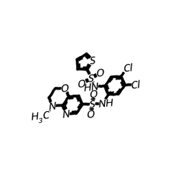 CN1CCOc2cc(S(=O)(=O)Nc3cc(Cl)c(Cl)cc3NS(=O)(=O)c3cccs3)cnc21